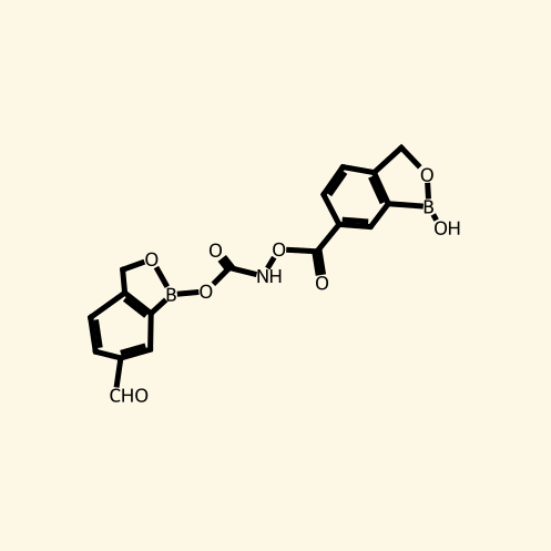 O=Cc1ccc2c(c1)B(OC(=O)NOC(=O)c1ccc3c(c1)B(O)OC3)OC2